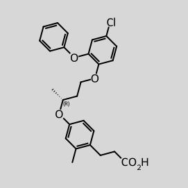 Cc1cc(O[C@H](C)CCOc2ccc(Cl)cc2Oc2ccccc2)ccc1CCC(=O)O